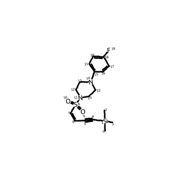 C[Si](C)(C)C#C/C=C\S(=O)(=O)N1CCN(c2ccc(F)cc2)CC1